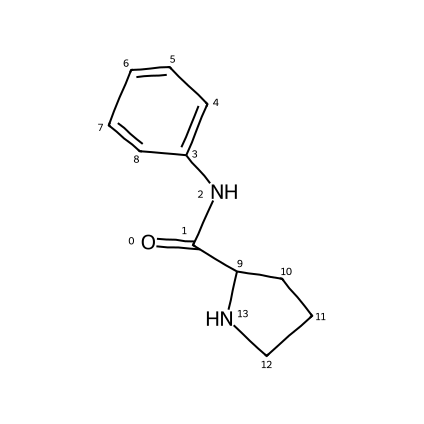 O=C(Nc1ccccc1)C1CCCN1